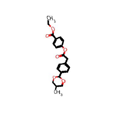 CCOC(=O)c1ccc(OC(=O)Cc2ccc(C3OCC(C)CO3)cc2)cc1